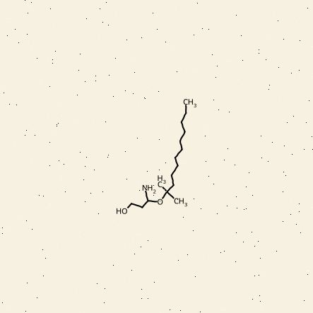 CCCCCCCCCCC(C)(C)OC(N)CCO